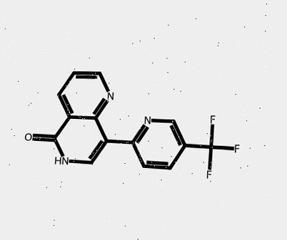 O=c1[nH]cc(-c2ccc(C(F)(F)F)cn2)c2ncccc12